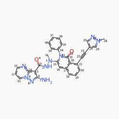 CN(NC(=O)c1c(N)nn2cccnc12)c1cc2cccc(C#Cc3cnn(C)c3)c2c(=O)n1-c1ccccc1